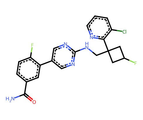 NC(=O)c1ccc(F)c(-c2cnc(NCC3(c4ncccc4Cl)CC(F)C3)nc2)c1